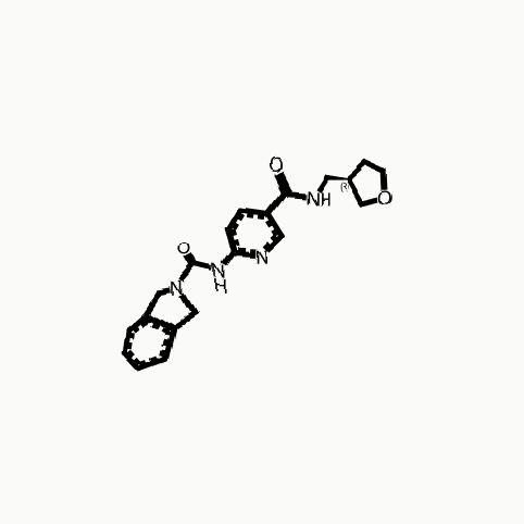 O=C(NC[C@H]1CCOC1)c1ccc(NC(=O)N2Cc3ccccc3C2)nc1